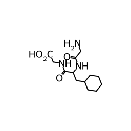 NCC(=O)NC(CC1CCCCC1)C(=O)NCC(=O)O